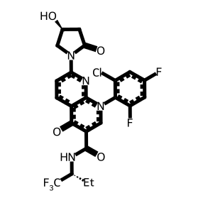 CC[C@@H](NC(=O)c1cn(-c2c(F)cc(F)cc2Cl)c2nc(N3C[C@@H](O)CC3=O)ccc2c1=O)C(F)(F)F